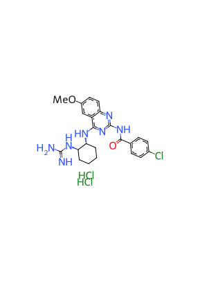 COc1ccc2nc(NC(=O)c3ccc(Cl)cc3)nc(N[C@H]3CCCC[C@H]3NC(=N)N)c2c1.Cl.Cl